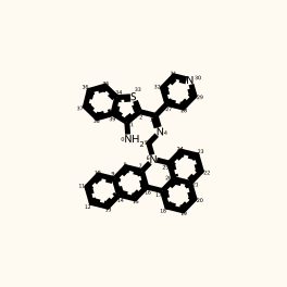 Nc1c(/C(=N\CN2c3cc4ccccc4cc3-c3cccc4cccc2c34)c2ccncc2)sc2ccccc12